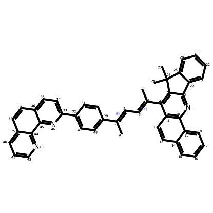 C/C(=C\C=C(/C)c1c2c(nc3c1ccc1ccccc13)-c1ccccc1C2(C)C)c1ccc(-c2ccc3ccc4cccnc4c3n2)cc1